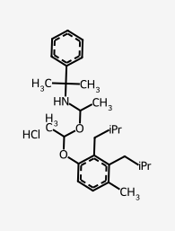 Cc1ccc(OC(C)OC(C)NC(C)(C)c2ccccc2)c(CC(C)C)c1CC(C)C.Cl